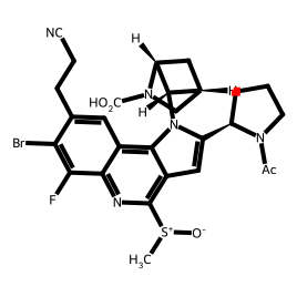 CC(=O)N1CCC[C@@H]1c1cc2c([S+](C)[O-])nc3c(F)c(Br)c(CCC#N)cc3c2n1[C@H]1[C@@H]2C[C@H]1N(C(=O)O)C2